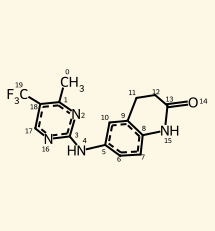 Cc1nc(Nc2ccc3c(c2)CCC(=O)N3)ncc1C(F)(F)F